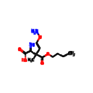 CCCCOC(=O)C(C)(CCON)C(=N)C(=O)O